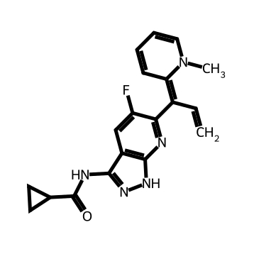 C=C/C(=C1/C=CC=CN1C)c1nc2[nH]nc(NC(=O)C3CC3)c2cc1F